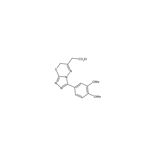 CCOC(=O)CC1=Nn2c(nnc2-c2ccc(OC)c(OC)c2)SC1